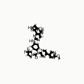 COc1ncc(-c2cnc(N(C(=O)N3CCC(F)(F)C3)C3CCC(Nc4ncc(C(F)(F)F)c(-c5n[nH]cc5Cl)n4)CC3)cn2)cn1